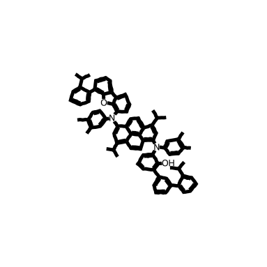 Cc1ccc(N(c2cccc(-c3cccc(-c4ccccc4C(C)C)c3)c2O)c2cc(C(C)C)c3ccc4c(N(c5ccc(C)c(C)c5)c5cccc6c5oc5c(-c7ccccc7C(C)C)cccc56)cc(C(C)C)c5ccc2c3c54)cc1C